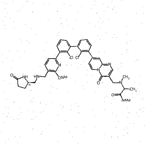 CNC(=O)C(C)N(C)Cc1cnc2cc(-c3cccc(-c4cccc(-c5ccc(CNC[C@H]6CCC(=O)N6)c(OC)n5)c4Cl)c3Cl)ccn2c1=O